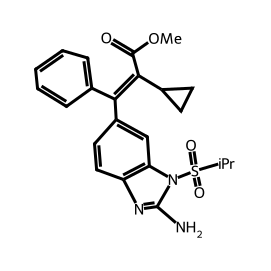 COC(=O)C(=C(c1ccccc1)c1ccc2nc(N)n(S(=O)(=O)C(C)C)c2c1)C1CC1